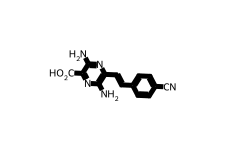 N#Cc1ccc(/C=C/c2nc(N)c(C(=O)O)nc2N)cc1